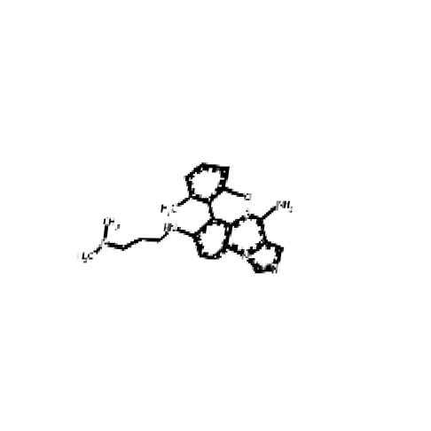 Cc1cccc(Cl)c1-c1c(NCCCN(C)C)ccc2c1nc(N)c1cncn12